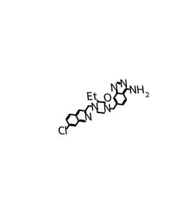 CCC1C(=O)N(Cc2ccc3c(N)ncnc3c2)CCN1Cc1cc2ccc(Cl)cc2cn1